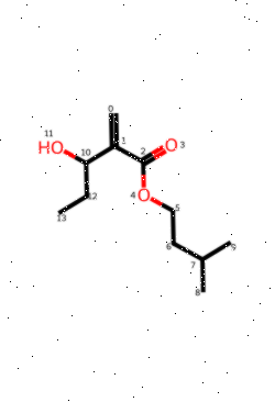 C=C(C(=O)OCCC(C)C)C(O)CC